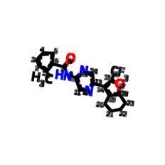 Cc1ccccc1C(=O)Nc1cnc(-c2c(C(F)(F)F)oc3c2CCCC3)cn1